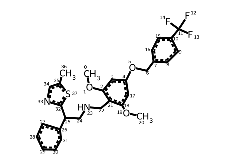 COc1cc(OCc2ccc(C(F)(F)F)cc2)cc(OC)c1CNCC(c1ccccc1)c1ncc(C)s1